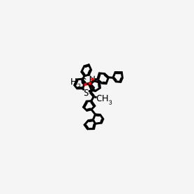 C=C/C(=C\C=C(/C)c1cccc(-c2cccc3ccccc23)c1)N(c1ccc(-c2ccccc2)cc1)c1ccccc1-c1cccc2sc3ccccc3c12